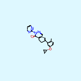 Cc1ccc(OC2CC2)cc1C1=Cc2cnn(-c3ncccn3)c(=O)c2CC1